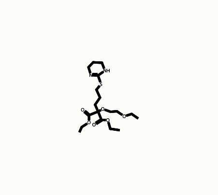 CCOCCOC(CCCSC1=NCCCN1)(C(=O)OCC)C(=O)OCC